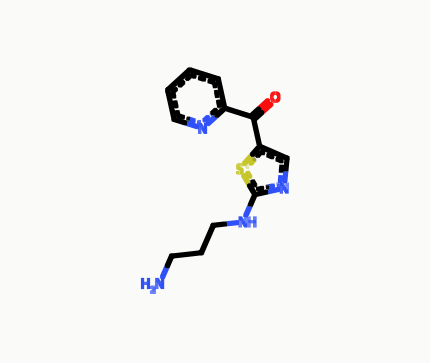 NCCCNc1ncc(C(=O)c2ccccn2)s1